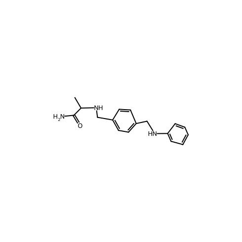 CC(NCc1ccc(CNc2ccccc2)cc1)C(N)=O